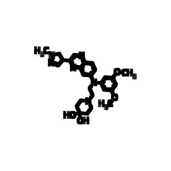 COc1cc(OC)cc(N(CCN2CCC(O)(O)CC2)c2ccc3ncc(C4C=NN(C)C4)nc3c2)c1